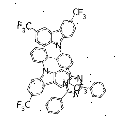 FC(F)(F)c1ccc2c(c1)c1cc(C(F)(F)F)ccc1n2-c1ccccc1-c1cc(-c2nc(-c3ccccc3)nc(-c3ccccc3)n2)ccc1-n1c2ccc(C(F)(F)F)cc2c2cc(C(F)(F)F)ccc21